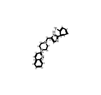 Fc1ccccc1-c1ncc(CN2CCN(c3ccc4ccccc4n3)CC2)[nH]1